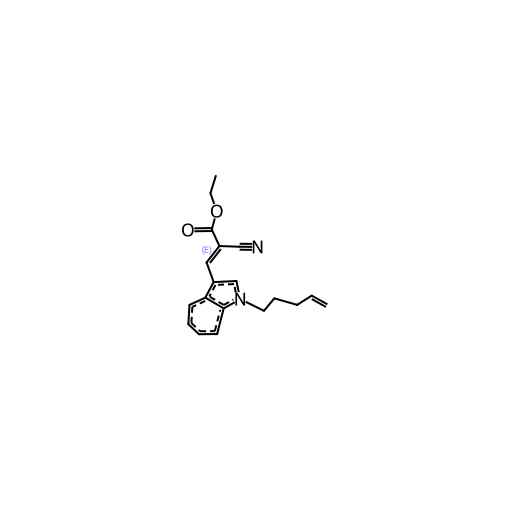 C=CCCCn1cc(/C=C(\C#N)C(=O)OCC)c2ccccc21